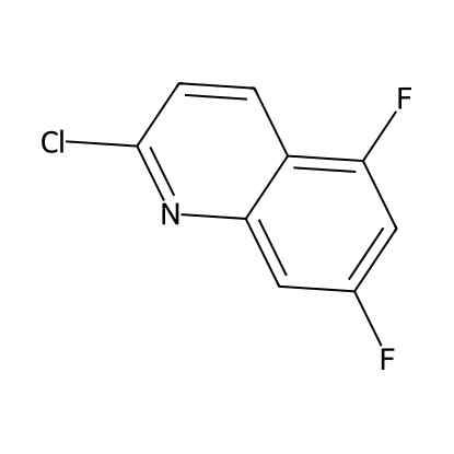 Fc1cc(F)c2ccc(Cl)nc2c1